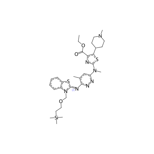 CCOC(=O)c1nc(N(C)c2cc(C)c(/N=c3\sc4ccccc4n3COCC[Si](C)(C)C)nn2)sc1C1CCN(C)CC1